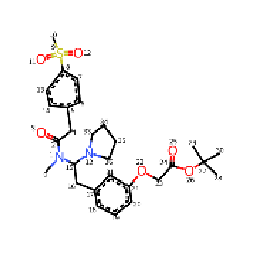 CN(C(=O)Cc1ccc(S(C)(=O)=O)cc1)C(Cc1cccc(OCC(=O)OC(C)(C)C)c1)N1CCCC1